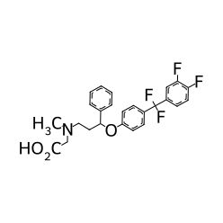 CN(CCC(Oc1ccc(C(F)(F)c2ccc(F)c(F)c2)cc1)c1ccccc1)CC(=O)O